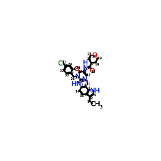 CCc1c[nH]c2cc(NC3N(I)C=C(NC(=O)C4CCOCC4)C(=O)N3Cc3ccc(Cl)cc3)ccc12